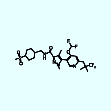 Cc1c(C(=O)NCC2CCC(S(C)(=O)=O)CC2)nn(C)c1-c1cnc(CC(C)(C)C(F)(F)F)cc1OC(F)F